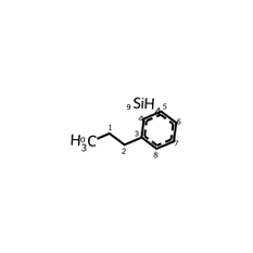 CCCc1ccccc1.[SiH4]